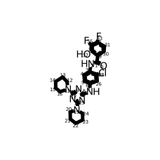 O=C(Nc1ccc(Nc2nc(N3CCCCC3)nc(N3CCCCC3)n2)cc1Cl)c1ccc(F)c(F)c1O